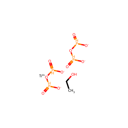 CCO.O=[PH]([O-])O[PH](=O)[O-].O=[PH]([O-])O[PH](=O)[O-].[Ti+4]